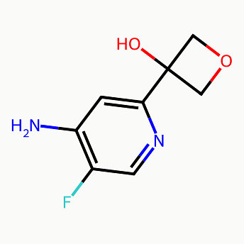 Nc1cc(C2(O)COC2)ncc1F